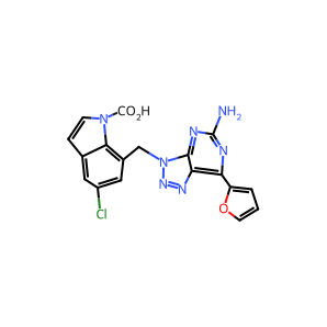 Nc1nc(-c2ccco2)c2nnn(Cc3cc(Cl)cc4ccn(C(=O)O)c34)c2n1